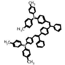 Cc1ccc(N(c2ccc(C)cc2)c2ccc(C=C(c3ccccc3)c3ccc(C(=Cc4ccc(N(c5ccc(C)cc5)c5ccc(C)cc5)cc4)c4ccccc4)cc3)cc2)cc1